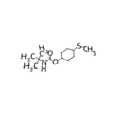 CSC1CCC(OC(=O)NC(C)(C)C)CC1